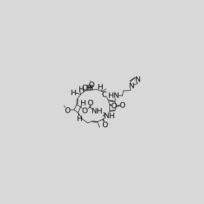 COC1/C2=C\[C@H](C)[C@@H](O)[C@@H](OC)C[C@H](C)CC3=C(NCCCn4ccnc4)C(=O)C=C(NC(=O)/C(C)=C/CC[C@H]1[C@H]2OC(N)=O)C3=O